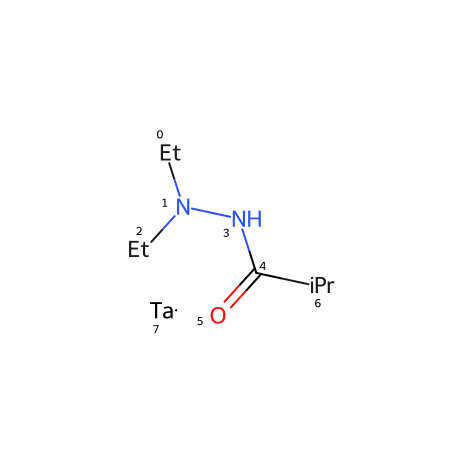 CCN(CC)NC(=O)C(C)C.[Ta]